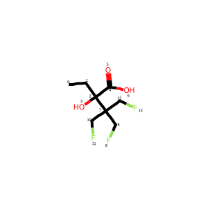 CCC(O)(C(=O)O)C(CF)(CF)CF